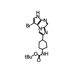 CC(C)(C)OC(=O)NC1CCC(c2cn3c(cnc4[nH]cc(Br)c43)n2)CC1